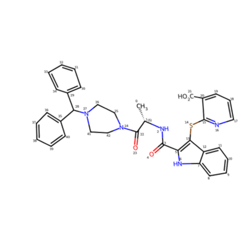 C[C@H](NC(=O)c1[nH]c2ccccc2c1Sc1ncccc1C(=O)O)C(=O)N1CCN(C(c2ccccc2)c2ccccc2)CC1